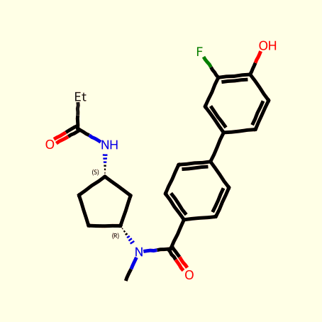 CCC(=O)N[C@H]1CC[C@@H](N(C)C(=O)c2ccc(-c3ccc(O)c(F)c3)cc2)C1